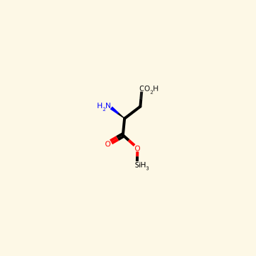 N[C@@H](CC(=O)O)C(=O)O[SiH3]